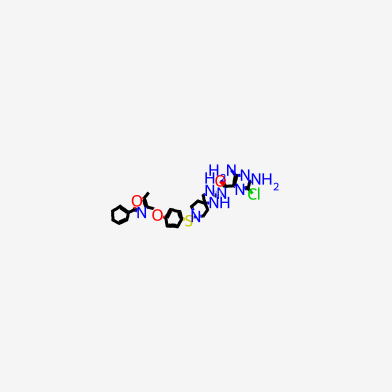 Cc1oc(C2=CCCC=C2)nc1COc1ccc(SN2CCC3(CC2)CN/C(=N\C(=O)c2nc(Cl)c(N)nc2N)N3)cc1